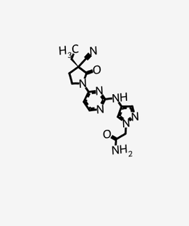 CC[C@]1(C#N)CCN(c2ccnc(Nc3cnn(CC(N)=O)c3)n2)C1=O